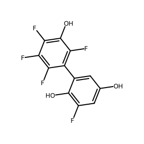 Oc1cc(F)c(O)c(-c2c(F)c(O)c(F)c(F)c2F)c1